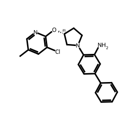 Cc1cnc(O[C@@H]2CCN(c3ccc(-c4ccccc4)cc3N)C2)c(Cl)c1